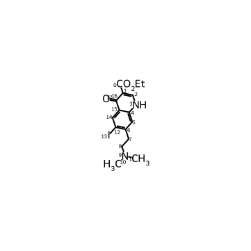 CCOC(=O)c1c[nH]c2cc(CCN(C)C)c(I)cc2c1=O